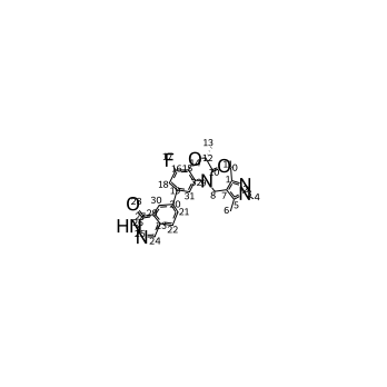 Cc1nn(C)c(C)c1CN1C(=O)[C@@H](C)Oc2c(F)cc(-c3ccc4cn[nH]c(=O)c4c3)cc21